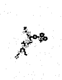 CCC/C=C/C(CC(=O)OCC[Si](C)(C)C)OC(=O)[C@@H](NC(=O)[C@]1(C)CSC(c2nc(CNC(=O)OC(C)(C)C)sc2-c2ccc(CO[Si](c3ccccc3)(c3ccccc3)C(C)(C)C)cc2)=N1)C(C)C